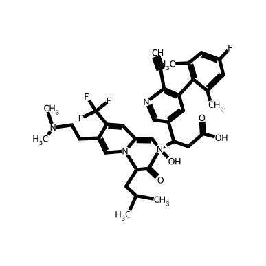 C#Cc1ncc(C(CC(=O)O)[N+]2(O)C=C3C=C(C(F)(F)F)C(CCN(C)C)=CN3C(CC(C)C)C2=O)cc1-c1c(C)cc(F)cc1C